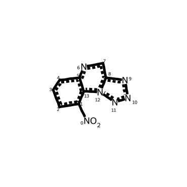 O=[N+]([O-])c1cccc2ncc3nnnn3c12